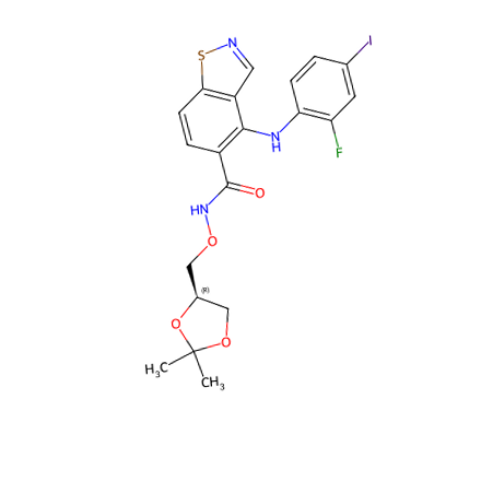 CC1(C)OC[C@H](CONC(=O)c2ccc3sncc3c2Nc2ccc(I)cc2F)O1